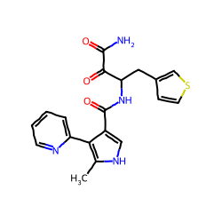 Cc1[nH]cc(C(=O)NC(Cc2ccsc2)C(=O)C(N)=O)c1-c1ccccn1